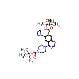 CC(C)(C)OC(=O)N1CCN(c2ncnc3cc(B4OC(C)(C)C(C)(C)O4)c(N4CCC4)cc23)CC1